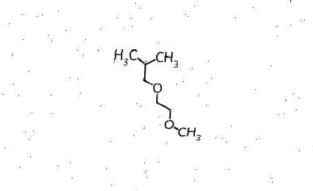 COCCOC[C](C)C